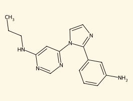 CCCNc1cc(-n2ccnc2-c2cccc(N)c2)ncn1